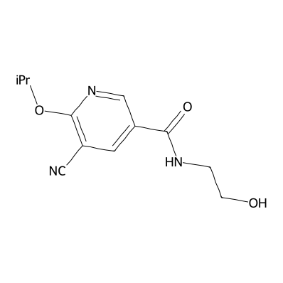 CC(C)Oc1ncc(C(=O)NCCO)cc1C#N